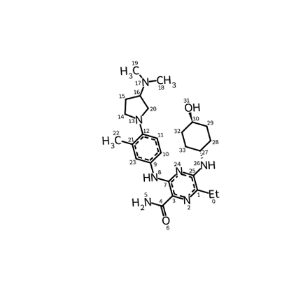 CCc1nc(C(N)=O)c(Nc2ccc(N3CCC(N(C)C)C3)c(C)c2)nc1N[C@H]1CC[C@H](O)CC1